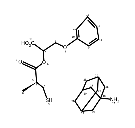 C[C@H](CS)C(=O)OC(COc1ccccc1)C(=O)O.NC12CC3CC(CC(C3)C1)C2